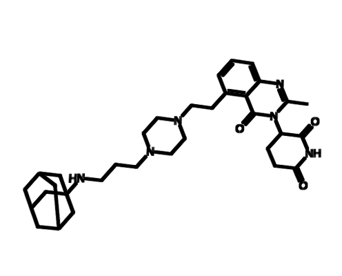 Cc1nc2cccc(CCN3CCN(CCCNC45CC6CC(CC(C6)C4)C5)CC3)c2c(=O)n1C1CCC(=O)NC1=O